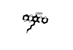 COc1c(OC2CCCCO2)c(C)c(CCCCF)c(OC2CCCCO2)c1OC